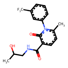 Cc1ccc(C(=O)NCC(C)O)c(=O)n1-c1cccc(C(F)(F)F)c1